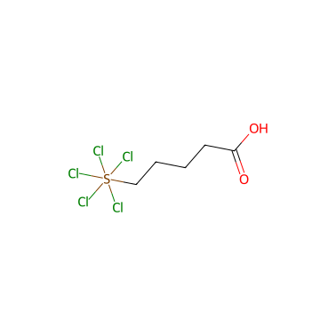 O=C(O)CCCCS(Cl)(Cl)(Cl)(Cl)Cl